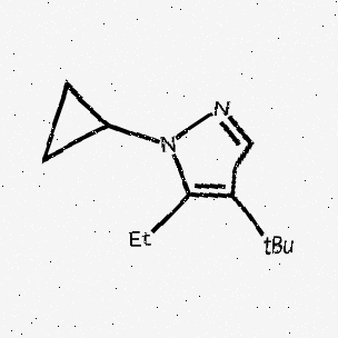 CCc1c(C(C)(C)C)cnn1C1CC1